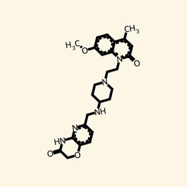 COc1ccc2c(C)cc(=O)n(CCN3CCC(NCc4ccc5c(n4)NC(=O)CO5)CC3)c2c1